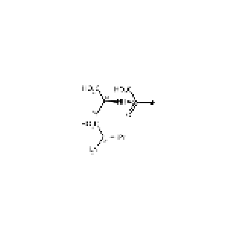 CC(=O)N[C@H](C(=O)O)C(C)C.CC(C)C(=O)C(=O)O.CC(C)[C@H](N)C(=O)O